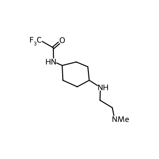 CNCCNC1CCC(NC(=O)C(F)(F)F)CC1